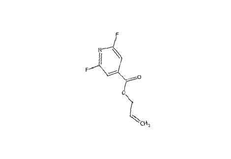 C=CCOC(=O)c1cc(F)nc(F)c1